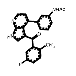 CC(=O)Nc1cccc(-c2ccnc3[nH]cc(C(=O)c4cc(F)ccc4C)c23)c1